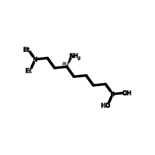 CCN(CC)CC[C@H](N)CCCCB(O)O